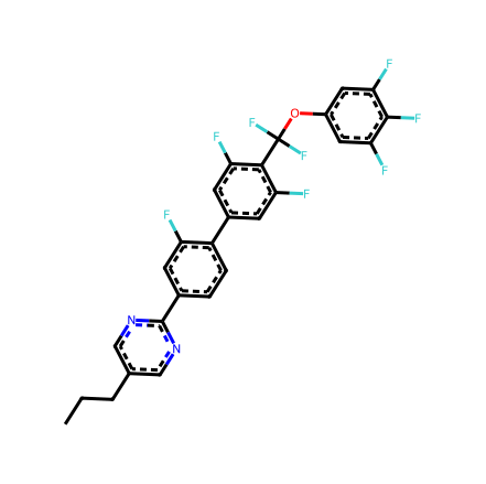 CCCc1cnc(-c2ccc(-c3cc(F)c(C(F)(F)Oc4cc(F)c(F)c(F)c4)c(F)c3)c(F)c2)nc1